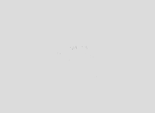 COc1ccc(-c2csc(NC(=O)c3ccccc3)c2C(=O)O)cc1